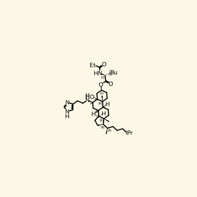 CCC(=O)N[C@H](C(=O)O[C@H]1CC[C@]2(C)[C@H]3CC[C@]4(C)[C@@H]([C@H](C)CCCC(C)C)CC[C@H]4[C@@H]3C[C@@H](NCCc3c[nH]cn3)[C@@]2(O)C1)[C@@H](C)CC